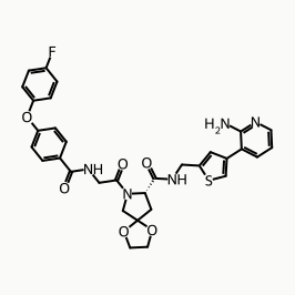 Nc1ncccc1-c1csc(CNC(=O)[C@@H]2CC3(CN2C(=O)CNC(=O)c2ccc(Oc4ccc(F)cc4)cc2)OCCO3)c1